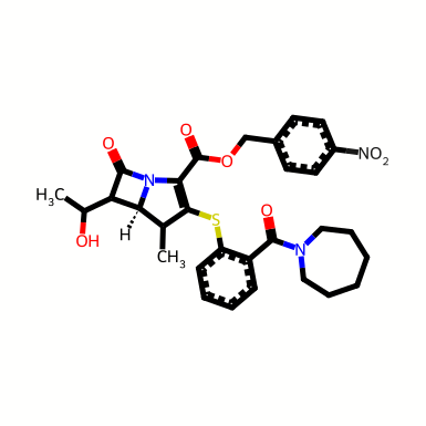 CC(O)C1C(=O)N2C(C(=O)OCc3ccc([N+](=O)[O-])cc3)=C(Sc3ccccc3C(=O)N3CCCCCC3)C(C)[C@@H]12